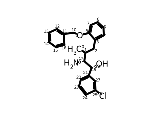 CC(Cc1ccccc1OCc1ccccc1)[C@@H](N)[C@H](O)c1cccc(Cl)c1